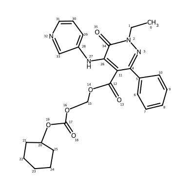 CCn1nc(-c2ccccc2)c(C(=O)OCOC(=O)OC2CCCCC2)c(Nc2cccnc2)c1=O